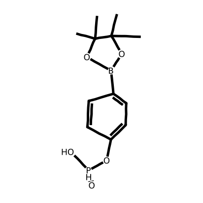 CC1(C)OB(c2ccc(O[PH](=O)O)cc2)OC1(C)C